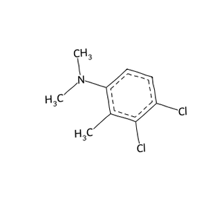 Cc1c(N(C)C)ccc(Cl)c1Cl